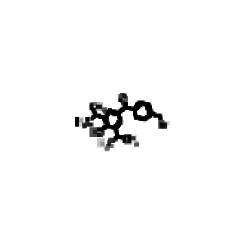 CC(C)c1cc(C(=O)c2ccc(CBr)cc2)cc(C(C)C)c1O